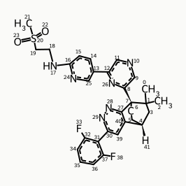 CC1(C)C[C@H]2CC[C@]1(c1cncc(-c3ccc(NCCS(C)(=O)=O)nc3)n1)c1nnc(-c3c(F)cccc3F)cc12